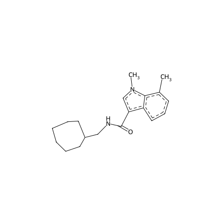 Cc1cccc2c(C(=O)NCC3CCCCCC3)cn(C)c12